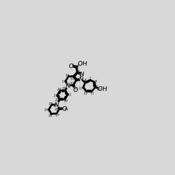 O=C(O)c1nn(C2=CC=C(O)C=CC2)c2c1CCN(c1ccc(N3CCCCC3=O)cc1)C2=O